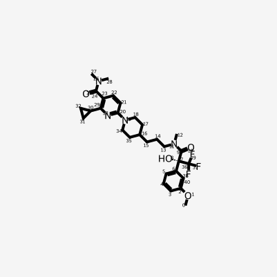 COc1cccc([C@@](O)(C(=O)N(C)CCCC2CCN(c3ccc(C(=O)N(C)C)c(C4CC4)n3)CC2)C(F)(F)F)c1